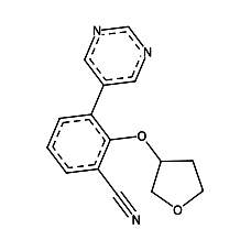 N#Cc1cccc(-c2cncnc2)c1OC1CCOC1